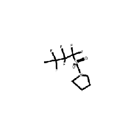 CC(F)(F)C(F)(F)C(F)(F)S(=O)(=O)N1CCCC1